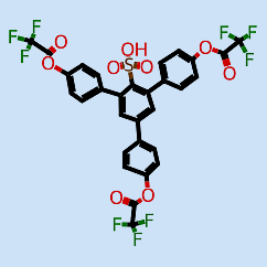 O=C(Oc1ccc(-c2cc(-c3ccc(OC(=O)C(F)(F)F)cc3)c(S(=O)(=O)O)c(-c3ccc(OC(=O)C(F)(F)F)cc3)c2)cc1)C(F)(F)F